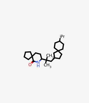 CC(C)C1CCC2(CCC(CC(C)(C)C3CCC4(CCCC4)C(=O)N3)C2)CC1